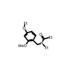 CCOc1ccc(CN(CC)C(=O)CC)c(OC)c1